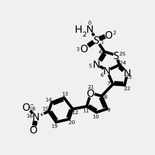 NS(=O)(=O)c1nn2c(-c3ccc(-c4ccc([N+](=O)[O-])cc4)o3)cnc2s1